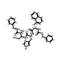 CC(C)CC(NC(=O)[C@H](Cc1c[nH]cn1)NC(=O)[C@H](Cc1cccc2ccccc12)NC(=O)OCc1ccccc1)C(O)C(=O)NCc1ccccc1